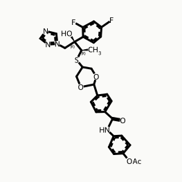 CC(=O)Oc1ccc(NC(=O)c2ccc(C3OCC(S[C@H](C)[C@](O)(Cn4cncn4)c4ccc(F)cc4F)CO3)cc2)cc1